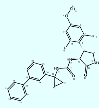 COc1cc(F)c([C@@H]2CNC(=O)[C@H]2NC(=O)NC2(c3cccc(-c4ccccc4)c3)CC2)c(F)c1